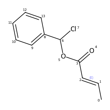 C/C=C/C(=O)OC(Cl)c1ccccc1